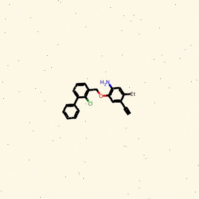 C#Cc1cc(OCc2cccc(-c3ccccc3)c2Cl)c(N)cc1CC